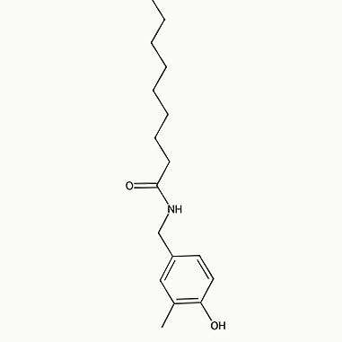 CCCCCCCCC(=O)NCc1ccc(O)c(C)c1